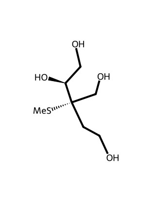 CS[C@](CO)(CCO)[C@@H](O)CO